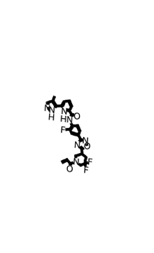 C=CC(=O)N1CC(c2nc(-c3ccc(NC(=O)c4cccc(-c5[nH]ncc5C)n4)c(F)c3)no2)CC(F)(F)C1